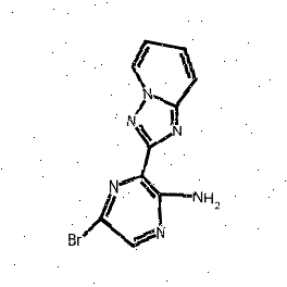 Nc1ncc(Br)nc1-c1nc2ccccn2n1